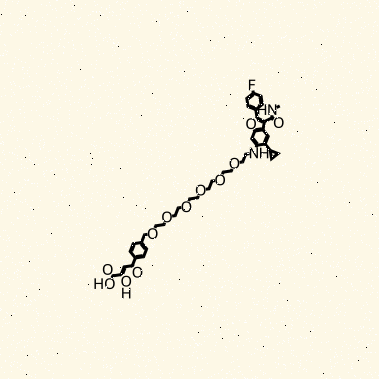 CNC(=O)c1c(-c2ccc(F)cc2)oc2cc(NCCOCCOCCOCCOCCOCCOCc3ccc(C(=O)/C=C(\O)C(=O)O)cc3)c(C3CC3)cc12